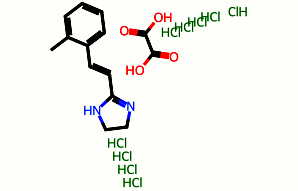 Cc1ccccc1C=CC1=NCCN1.Cl.Cl.Cl.Cl.Cl.Cl.Cl.Cl.Cl.O=C(O)C(=O)O